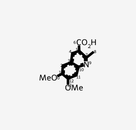 COc1cc2cc(C(=O)O)c(C)nc2cc1OC